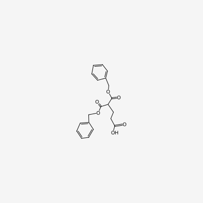 O=C(O)CCC(C(=O)OCc1ccccc1)C(=O)OCc1ccccc1